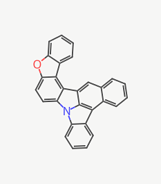 c1ccc2c(c1)cc1c3c4c(ccc3n3c5ccccc5c2c13)oc1ccccc14